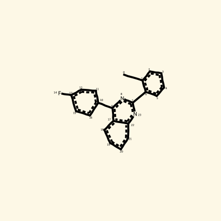 Cc1ccccc1-c1nc(-c2ccc(F)cc2)c2ccccc2n1